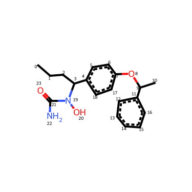 CCCC(c1ccc(OC(C)c2ccccc2)cc1)N(O)C(N)=O